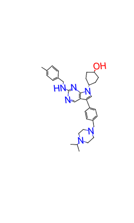 Cc1ccc(CNc2ncc3c(-c4ccc(CN5CCN(C(C)C)CC5)cc4)cn([C@H]4CC[C@H](O)CC4)c3n2)cc1